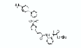 CC(C)(C)OC(=O)Nc1ccccc1NC(=O)C=Cc1ccn(S(=O)(=O)c2cccc(-c3ccc(N)nc3)c2)c1